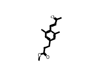 COC(=O)CCc1cc(C)c(/C=C/C(C)=O)c(C)c1